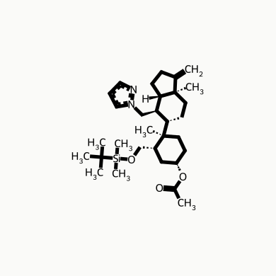 C=C1CC[C@H]2[C@H](Cn3cccn3)[C@@H]([C@@]3(C)CC[C@H](OC(C)=O)C[C@@H]3CO[Si](C)(C)C(C)(C)C)CC[C@]12C